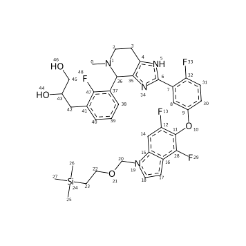 CN1CCc2[nH]c(-c3cc(Oc4c(F)cc5c(ccn5COCC[Si](C)(C)C)c4F)ccc3F)nc2C1c1cccc(CC(O)CO)c1F